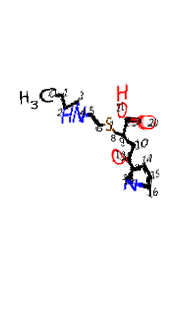 CCCCNCCSCC(CC(=O)c1cccnc1)C(=O)O